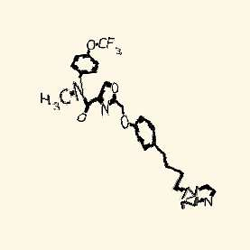 CN(C(=O)c1coc(COc2ccc(CCCCn3ccnn3)cc2)n1)c1ccc(OC(F)(F)F)cc1